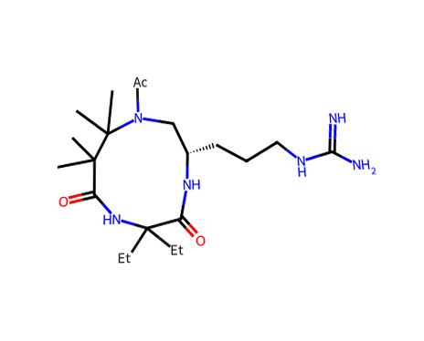 CCC1(CC)NC(=O)C(C)(C)C(C)(C)N(C(C)=O)C[C@H](CCCNC(=N)N)NC1=O